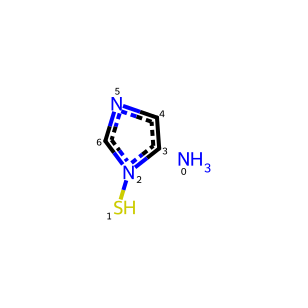 N.Sn1ccnc1